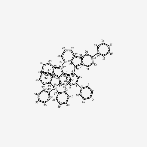 c1ccc(-c2cccc(-n3c4ccc(-c5ccccc5)cc4c4cccc(-n5c6ccccc6c6c([Si](c7ccccc7)(c7ccccc7)c7ccccc7)cccc65)c43)c2)cc1